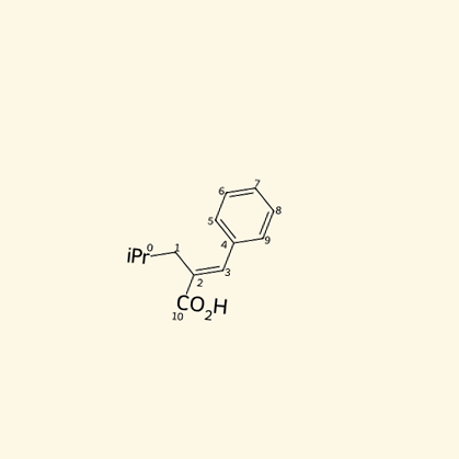 CC(C)C/C(=C\c1ccccc1)C(=O)O